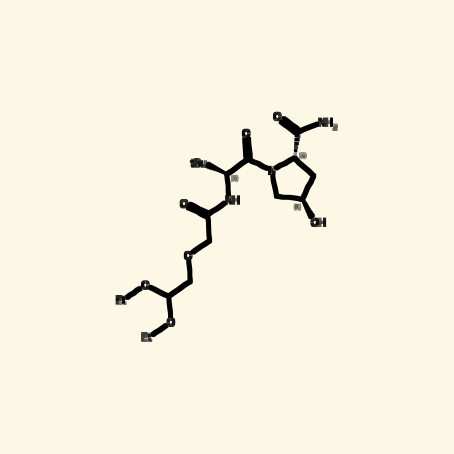 CCOC(COCC(=O)N[C@H](C(=O)N1C[C@H](O)C[C@H]1C(N)=O)C(C)(C)C)OCC